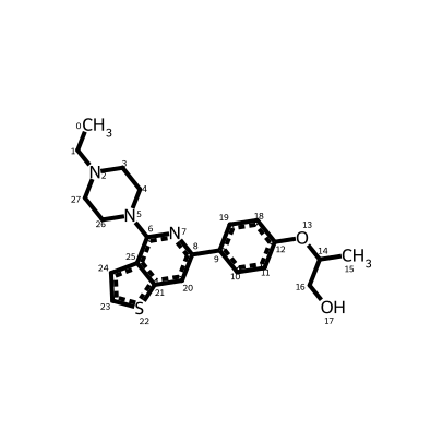 CCN1CCN(c2nc(-c3ccc(OC(C)CO)cc3)cc3sccc23)CC1